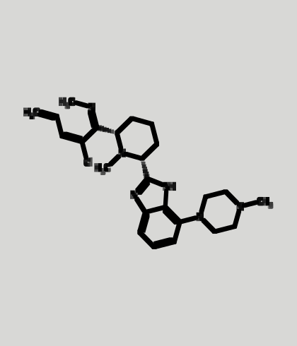 C=C/C=C(Cl)\C(=N/C)[C@@H]1CCC[C@H](c2nc3cccc(N4CCN(C)CC4)c3[nH]2)N1C